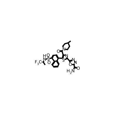 CC1CCN(C(=O)c2nc(-c3nnc(C(N)=O)o3)sc2-c2ccc(S(=O)(=O)N[C@@H](C)C(F)(F)F)c3ccccc23)CC1